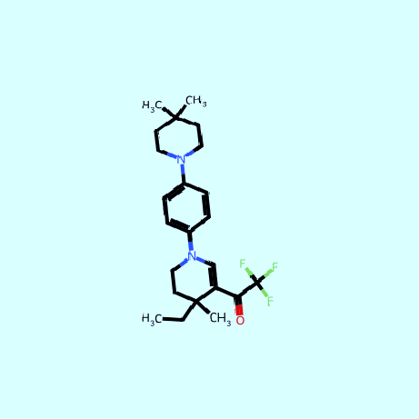 CCC1(C)CCN(c2ccc(N3CCC(C)(C)CC3)cc2)C=C1C(=O)C(F)(F)F